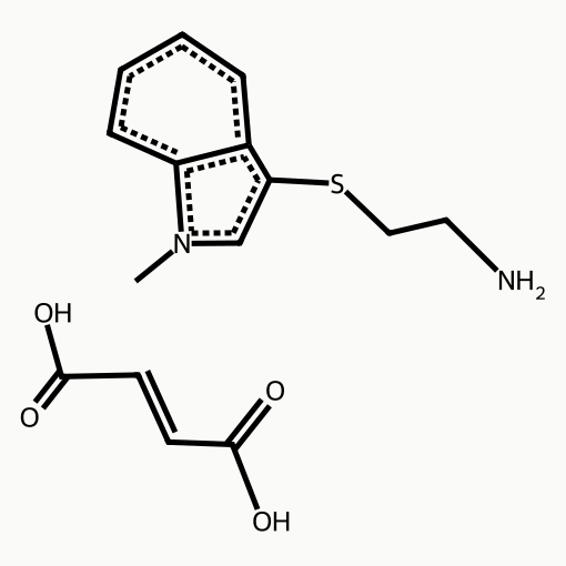 Cn1cc(SCCN)c2ccccc21.O=C(O)/C=C/C(=O)O